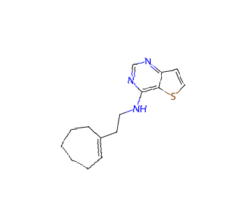 C1=C(CCNc2ncnc3ccsc23)CCCCC1